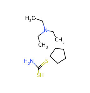 C1CCCC1.CCN(CC)CC.NC(=S)S